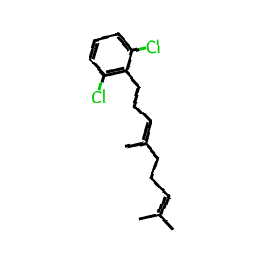 CC(C)=CCC/C(C)=C/CCc1c(Cl)cccc1Cl